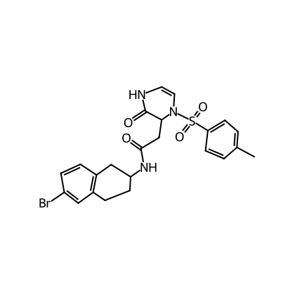 Cc1ccc(S(=O)(=O)N2C=CNC(=O)C2CC(=O)NC2CCc3cc(Br)ccc3C2)cc1